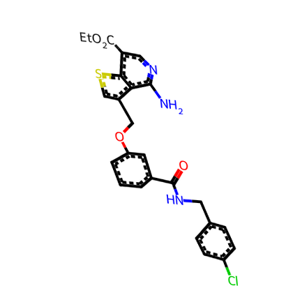 CCOC(=O)c1cnc(N)c2c(COc3cccc(C(=O)NCc4ccc(Cl)cc4)c3)csc12